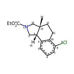 CCOC(=O)N1C[C@H]2c3cccc(Cl)c3CC[C@@]2(C)C1